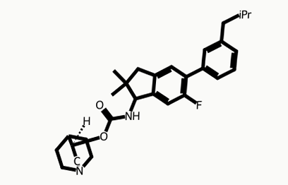 CC(C)Cc1cccc(-c2cc3c(cc2F)C(NC(=O)O[C@H]2CN4CCC2CC4)C(C)(C)C3)c1